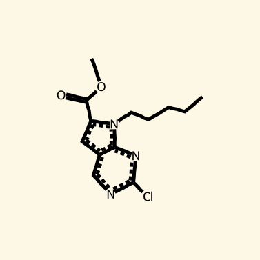 CCCCCn1c(C(=O)OC)cc2cnc(Cl)nc21